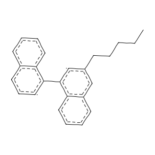 CCCCCc1[c]c(-c2[c]ccc3ccccc23)c2ccccc2c1